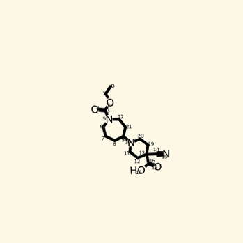 CCOC(=O)N1CCCC(N2CCC(C#N)(C(=O)O)CC2)CC1